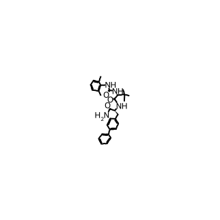 Cc1cccc(C)c1NC(=O)N[C@H](C(=O)N[C@@H](Cc1ccc(-c2ccccc2)cc1)C(N)=O)C(C)(C)C